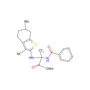 COC(=O)C(NC(=O)c1ccccc1)(Nc1sc2c(c1C#N)CCC(C(C)(C)C)C2)C(F)(F)F